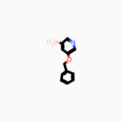 Bc1cncc(OCc2ccccc2)c1